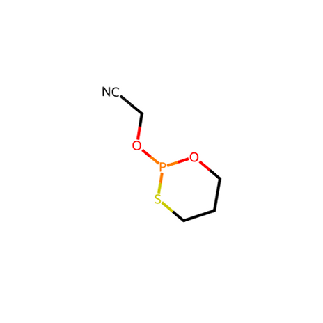 N#CCOP1OCCCS1